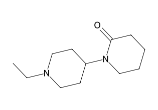 CCN1CCC(N2CCCCC2=O)CC1